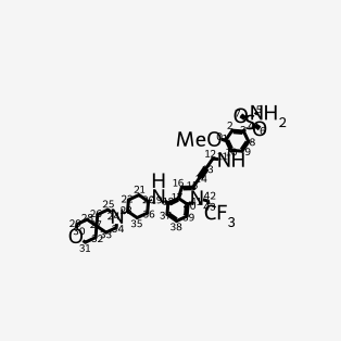 COc1cc(S(N)(=O)=O)ccc1NCC#Cc1cc2c(N[C@H]3CC[C@H](N4CCC5(CCOCC5)CC4)CC3)cccc2n1CC(F)(F)F